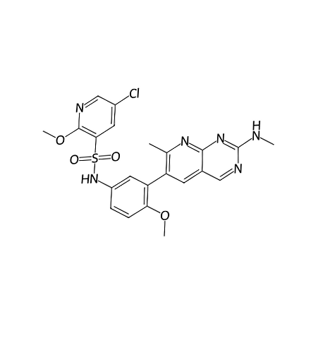 CNc1ncc2cc(-c3cc(NS(=O)(=O)c4cc(Cl)cnc4OC)ccc3OC)c(C)nc2n1